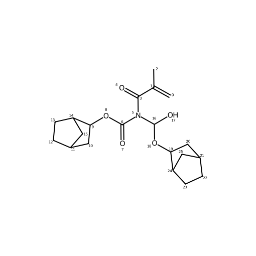 C=C(C)C(=O)N(C(=O)OC1CC2CCC1C2)C(O)OC1CC2CCC1C2